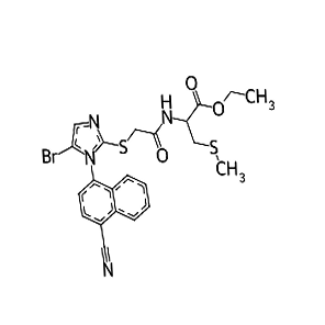 CCOC(=O)C(CSC)NC(=O)CSc1ncc(Br)n1-c1ccc(C#N)c2ccccc12